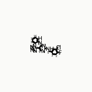 Fc1ccc(CNc2ncc3c(n2)Nc2ccccc2-n2nnnc2-3)cc1Cl